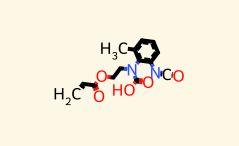 C=CC(=O)OCCN(C(=O)O)c1c(C)cccc1N=C=O